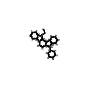 CCn1c2ccccc2c2ccc3c(c4ccccc4n3-c3ccccc3)c21